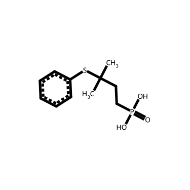 CC(C)(CCP(=O)(O)O)Sc1ccccc1